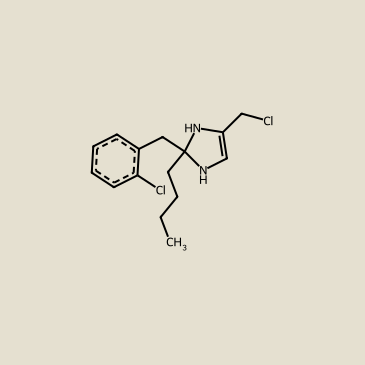 CCCCC1(Cc2ccccc2Cl)NC=C(CCl)N1